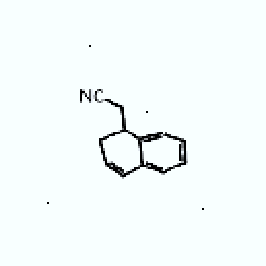 N#CCC1CC=Cc2ccccc21